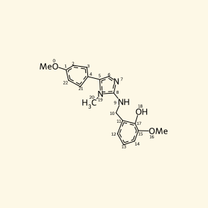 COc1ccc(-c2cnc(NCc3cccc(OC)c3O)n2C)cc1